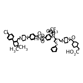 CC1(C)CCC(c2ccc(Cl)cc2)=C(CN2CCN(c3ccc(C(=O)NS(=O)(=O)c4ccc(N[C@H](CCN5CCN(C(=O)C6CCC(CC(=O)O)CC6)CC5)CSc5ccccc5)c(S(=O)(=O)C(F)(F)F)c4)cc3)CC2)C1